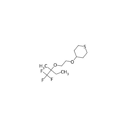 CCC(C)(OCCOC1CCSCC1)C(F)(F)F